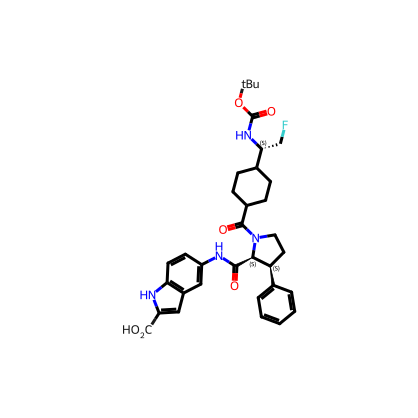 CC(C)(C)OC(=O)N[C@H](CF)C1CCC(C(=O)N2CC[C@@H](c3ccccc3)[C@H]2C(=O)Nc2ccc3[nH]c(C(=O)O)cc3c2)CC1